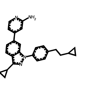 Nc1cc(-c2ccc3c(C4CC4)nn(-c4ccc(CCC5CC5)cc4)c3c2)ccn1